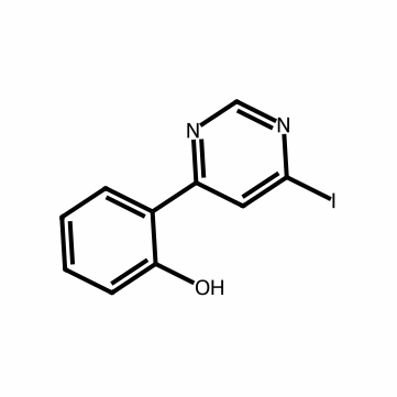 Oc1ccccc1-c1cc(I)ncn1